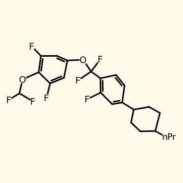 CCCC1CCC(c2ccc(C(F)(F)Oc3cc(F)c(OC(F)F)c(F)c3)c(F)c2)CC1